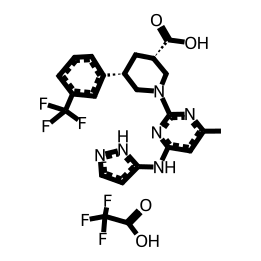 Cc1cc(Nc2ccn[nH]2)nc(N2C[C@@H](C(=O)O)C[C@@H](c3cccc(C(F)(F)F)c3)C2)n1.O=C(O)C(F)(F)F